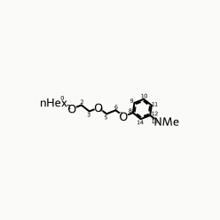 CCCCCCOCCOCCOc1cccc(NC)c1